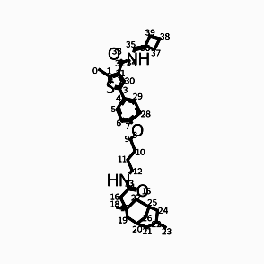 Cc1sc(-c2ccc(OCCCCNC(=O)CC3(C)CC4CC(C)CC(C4)C3)cc2)cc1C(=O)NC=C1CCC1